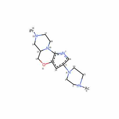 CC(=O)N1CCN(c2cnc3c(c2)OCC2CN(C(C)C)CCN32)CC1